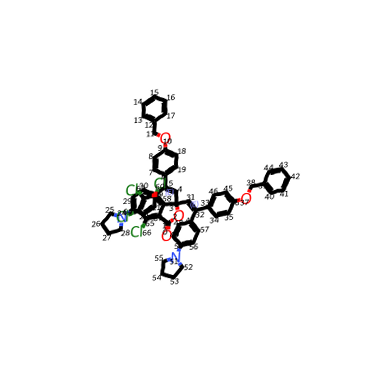 O=C1OC(/C=C(/c2ccc(OCc3ccccc3)cc2)c2ccc(N3CCCC3)cc2)(/C=C(/c2ccc(OCc3ccccc3)cc2)c2ccc(N3CCCC3)cc2)c2c(Cl)c(Cl)c(Cl)c(Cl)c21